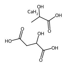 CC(O)C(=O)O.O=C(O)CC(O)C(=O)O.[CaH2]